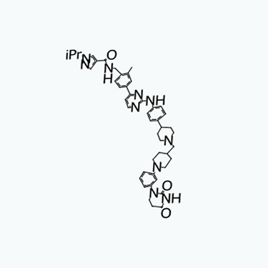 Cc1cc(-c2ccnc(Nc3ccc(C4CCN(CC5CCN(c6cccc(N7CCC(=O)NC7=O)c6)CC5)CC4)cc3)n2)ccc1CNC(=O)c1cnn(C(C)C)c1